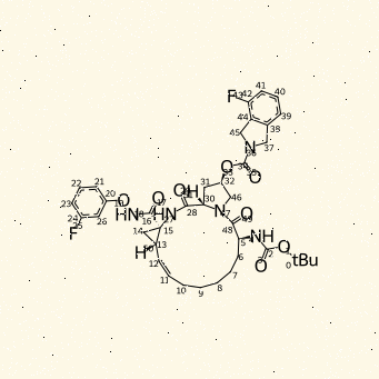 CC(C)(C)OC(=O)N[C@H]1CCCCC/C=C\[C@@H]2C[C@@]2(C(=O)NOc2cccc(F)c2)NC(=O)[C@@H]2C[C@@H](OC(=O)N3Cc4cccc(F)c4C3)CN2C1=O